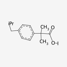 CC(C)Cc1ccc(C(C)(C)C(=O)OI)cc1